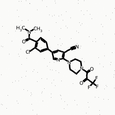 CN(C)C(=O)c1ccc(-c2cnc(N3CCN(C(=O)C(=O)C(F)(F)F)CC3)c(C#N)c2)cc1Cl